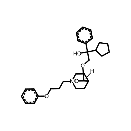 OC(CO[C@@H]1C[N+]2(CCCOc3ccccc3)CCC1CC2)(c1ccccc1)C1CCCC1